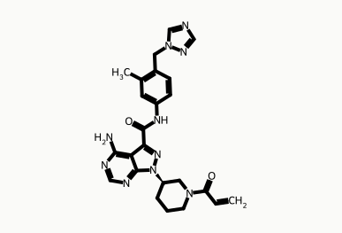 C=CC(=O)N1CCC[C@@H](n2nc(C(=O)Nc3ccc(Cn4cncn4)c(C)c3)c3c(N)ncnc32)C1